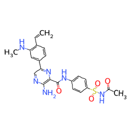 C=Cc1ccc(-c2cnc(N)c(C(=O)Nc3ccc(S(=O)(=O)NC(C)=O)cc3)n2)cc1NC